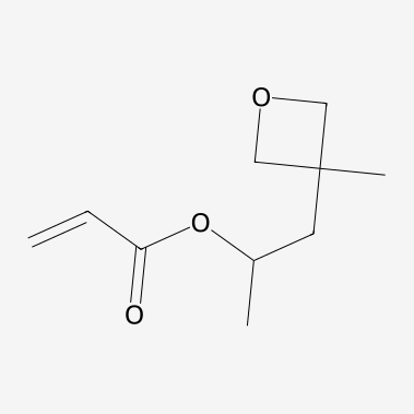 C=CC(=O)OC(C)CC1(C)COC1